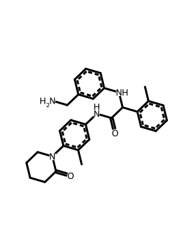 Cc1ccccc1C(Nc1cccc(CN)c1)C(=O)Nc1ccc(N2CCCCC2=O)c(C)c1